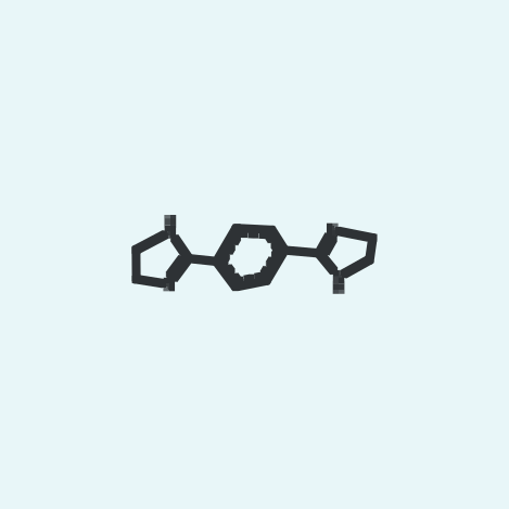 c1cc(C2=NCCN2)ccc1C1=NCCN1